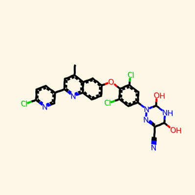 Cc1cc(-c2ccc(Cl)nc2)nc2ccc(Oc3c(Cl)cc(N4N=C(C#N)C(O)NC4O)cc3Cl)cc12